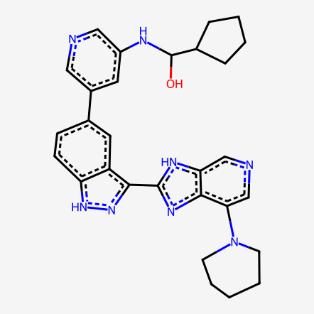 OC(Nc1cncc(-c2ccc3[nH]nc(-c4nc5c(N6CCCCC6)cncc5[nH]4)c3c2)c1)C1CCCC1